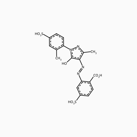 Cc1cc(S(=O)(=O)O)ccc1-n1nc(C)c(N=Nc2cc(S(=O)(=O)O)ccc2C(=O)O)c1O